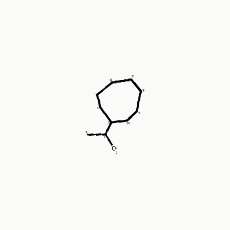 CC([O])C1CCCCCCC1